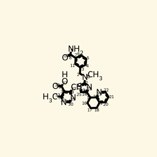 CN(Cc1cccc(C(N)=O)c1)c1nc(C2CCCc3cccnc32)cs1.Cc1ncnc(C)c1C(=O)O